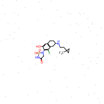 O=C1CN(c2c(O)cc3c(c2F)C[C@H](NCCC2(C(F)(F)F)CC2)CC3)S(=O)(=O)N1